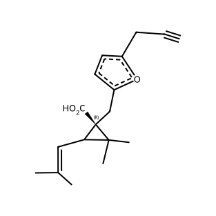 C#CCc1ccc(C[C@@]2(C(=O)O)C(C=C(C)C)C2(C)C)o1